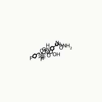 CC(N(Cc1ccc(F)cc1)C(=O)CN1C(=O)NC2(CC(O)c3cc(-c4cnn(CC(N)=O)c4)ccc32)C1=O)C(F)(F)F